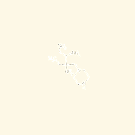 CCC(N)(CN1CCNCC1)C(N)CN